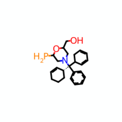 OCC1CN(C(c2ccccc2)(C2C=CC=CC2)[C@H]2C=CCCC2)CC(P)O1